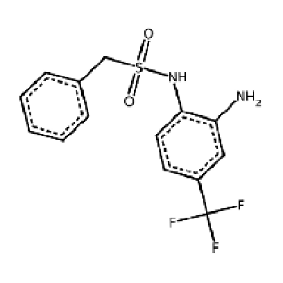 Nc1cc(C(F)(F)F)ccc1NS(=O)(=O)Cc1ccccc1